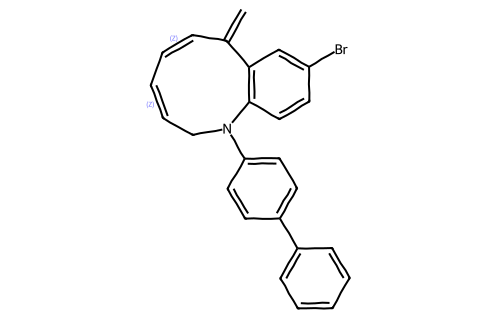 C=C1/C=C\C=C/CN(c2ccc(-c3ccccc3)cc2)c2ccc(Br)cc21